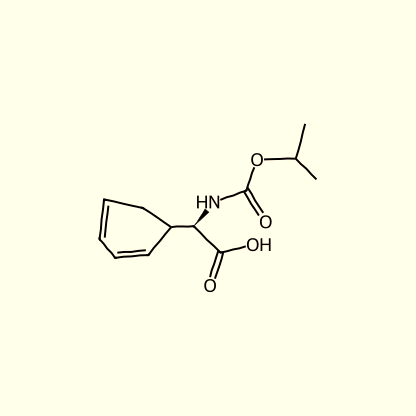 CC(C)OC(=O)N[C@@H](C(=O)O)C1C=CC=CC1